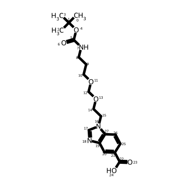 CC(C)(C)OC(=O)NCCCOCOCCn1cnc2cc(C(=O)O)ccc21